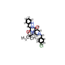 CC(C)(C)CN1C(=O)C(Cc2ccccc2)NC(=O)C12CCN(Cc1ccc(Cl)cc1)CC2